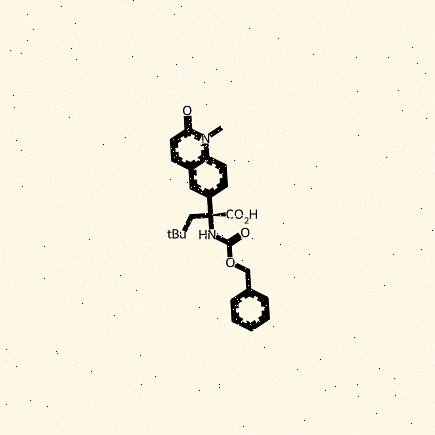 Cn1c(=O)ccc2cc([C@@](CC(C)(C)C)(NC(=O)OCc3ccccc3)C(=O)O)ccc21